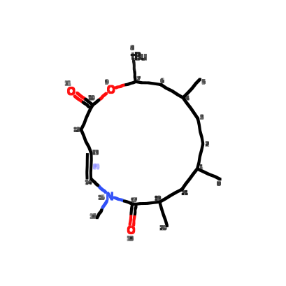 CC1CCC(C)CC(C(C)(C)C)OC(=O)C/C=C/N(C)C(=O)C(C)C1